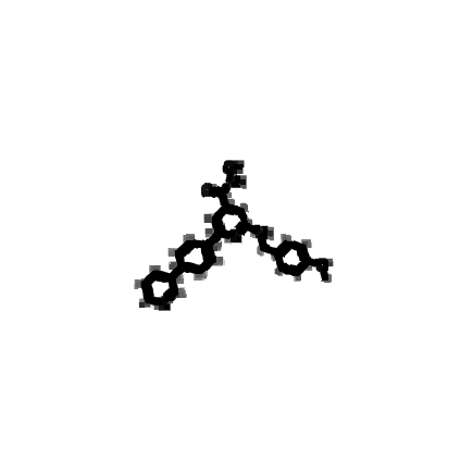 COc1ccc(CNc2cc(C(=O)NO)cc(-c3ccc(-c4cccnc4)cc3)n2)cc1